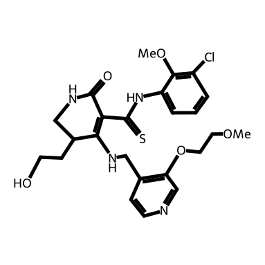 COCCOc1cnccc1CNC1=C(C(=S)Nc2cccc(Cl)c2OC)C(=O)NCC1CCO